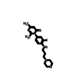 Cc1cc(=O)n(-c2ccc(NCCCN3CCOCC3)c(F)c2)c(C)n1